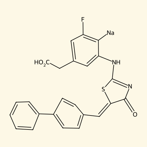 O=C(O)Cc1cc(F)[c]([Na])c(NC2=NC(=O)C(=Cc3ccc(-c4ccccc4)cc3)S2)c1